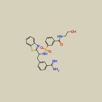 N=C(N)c1cccc(CC(NS(=O)(=O)c2cccc(C(=O)NCCO)c2)c2nc3ccccc3s2)c1